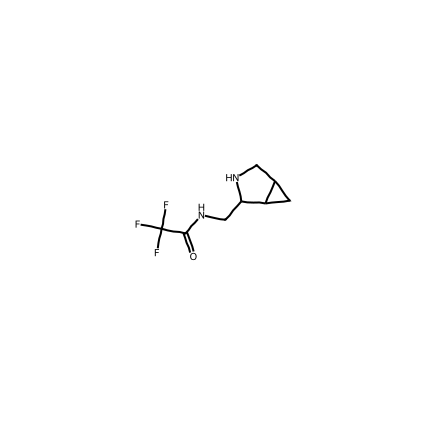 O=C(NCC1NCC2CC21)C(F)(F)F